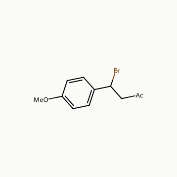 COc1ccc(C(Br)CC(C)=O)cc1